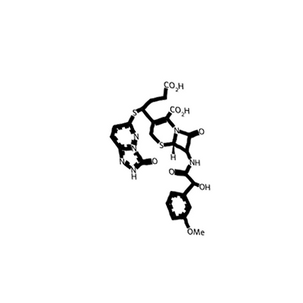 COc1cccc(C(O)C(=O)NC2C(=O)N3C(C(=O)O)=C(C(CCC(=O)O)Sc4ccc5n[nH]c(=O)n5n4)CS[C@@H]23)c1